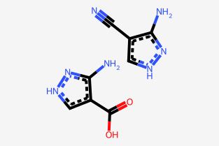 N#Cc1c[nH]nc1N.Nc1n[nH]cc1C(=O)O